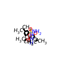 CC(C)C[C@H](NC(=O)OC(C)(C)C)C(=O)N=S(N)(=O)c1cccc(C(C)C)c1